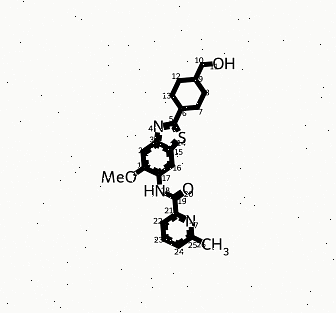 COc1cc2nc(C3CCC(CO)CC3)sc2cc1NC(=O)c1cccc(C)n1